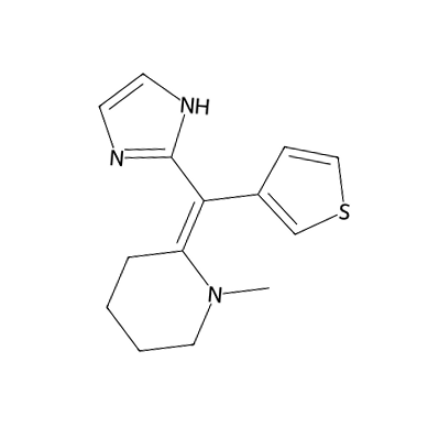 CN1CCCCC1=C(c1ccsc1)c1ncc[nH]1